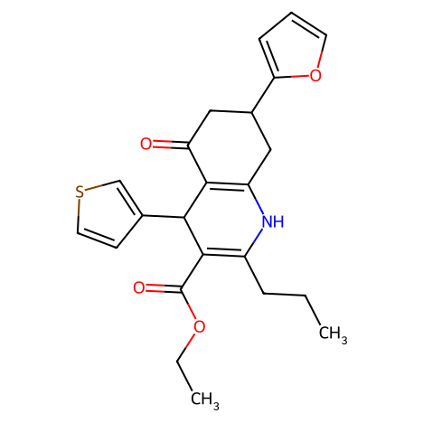 CCCC1=C(C(=O)OCC)C(c2ccsc2)C2=C(CC(c3ccco3)CC2=O)N1